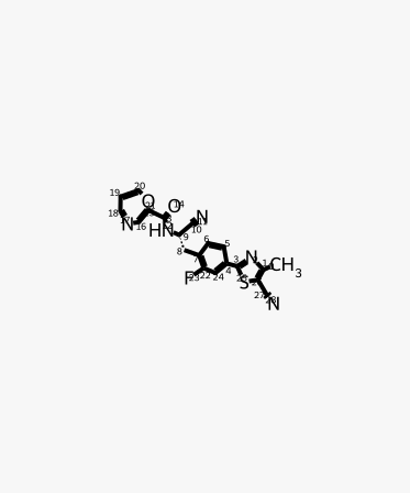 Cc1nc(-c2ccc(C[C@@H](C#N)NC(=O)C3=CN=CC=CO3)c(F)c2)sc1C#N